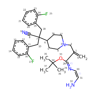 C=C(CN1CCC(C(C#N)(Cc2ccccc2F)Cc2ccccc2F)CC1)/C(=N\C=C/N)OC(C)(C)C